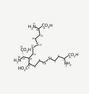 NC(CCSSCCC(C(=O)O)C(CSSCCC(N)C(=O)O)[C@H](N)C(=O)O)C(=O)O